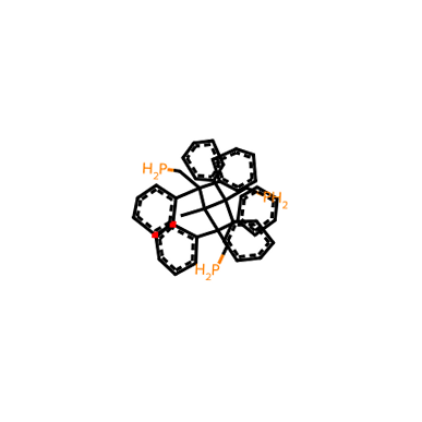 CC(C(CP)(c1ccccc1)c1ccccc1)(C(CP)(c1ccccc1)c1ccccc1)C(CP)(c1ccccc1)c1ccccc1